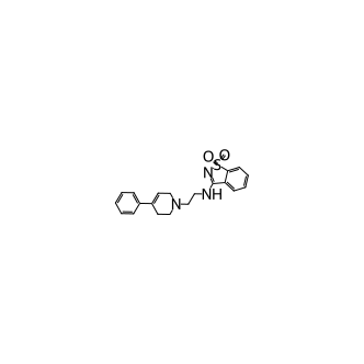 O=S1(=O)N=C(NCCN2CC=C(c3ccccc3)CC2)c2ccccc21